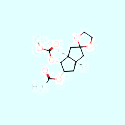 COC(=O)O[C@@H]1[C@@H]2CC3(C[C@@H]2C[C@H]1OC(C)=O)OCCO3